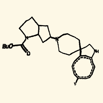 CC(C)COC(=O)N1CCCC2CC(N3CCC4(CC3)CNc3ccc(F)cc34)CC21